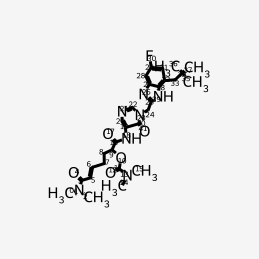 CN(C)C(=O)C=CCCC(OC(=O)N(C)C)C(=O)Nc1cncn(Cc2nc3cc(F)cc(CC(C)(C)C)c3[nH]2)c1=O